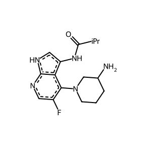 CC(C)C(=O)Nc1c[nH]c2ncc(F)c(N3CCCC(N)C3)c12